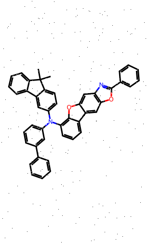 CC1(C)c2ccccc2-c2cc(N(c3cccc(-c4ccccc4)c3)c3cccc4c3oc3cc5nc(-c6ccccc6)oc5cc34)ccc21